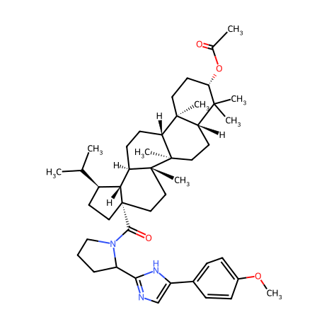 COc1ccc(-c2cnc(C3CCCN3C(=O)[C@]34CC[C@@H](C(C)C)[C@@H]3[C@H]3CC[C@@H]5[C@@]6(C)CC[C@H](OC(C)=O)C(C)(C)[C@@H]6CC[C@@]5(C)[C@]3(C)CC4)[nH]2)cc1